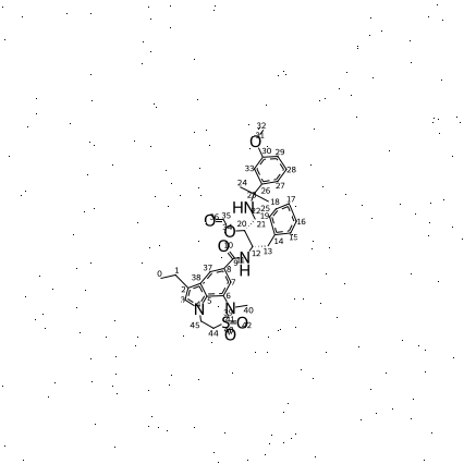 CCc1cn2c3c(cc(C(=O)N[C@@H](Cc4ccccc4)[C@@H](CNC(C)(C)c4cccc(OC)c4)OC=O)cc13)N(C)S(=O)(=O)CC2